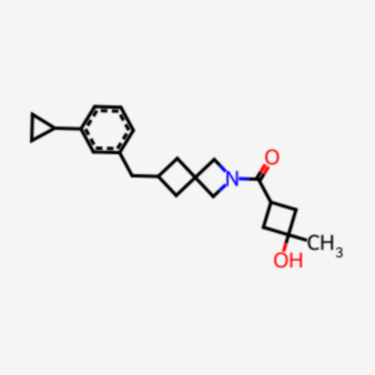 CC1(O)CC(C(=O)N2CC3(CC(Cc4cccc(C5CC5)c4)C3)C2)C1